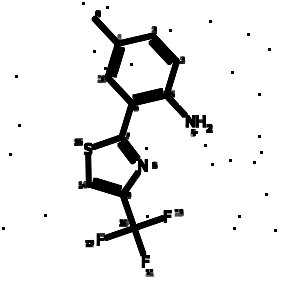 Cc1ccc(N)c(-c2nc(C(F)(F)F)cs2)c1